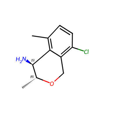 Cc1ccc(Cl)c2c1[C@H](N)[C@@H](C)OC2